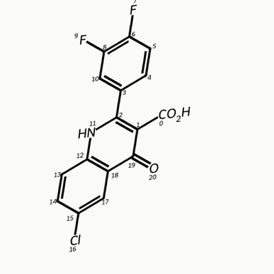 O=C(O)c1c(-c2ccc(F)c(F)c2)[nH]c2ccc(Cl)cc2c1=O